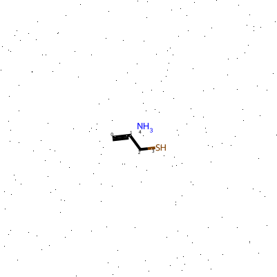 C=CCS.N